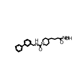 O=C(CCCC1CCN(C(=O)NCc2cccc(-c3ccccc3)c2)CC1)NO